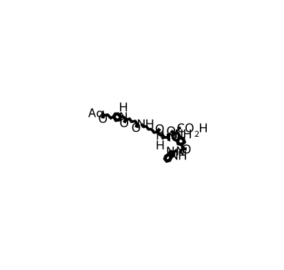 CC(=O)CC(=O)CCc1ccc(NC(=O)CCCC(=O)NCCCCCC(=O)NCCC(C)(C)N2Cc3cc(C(=O)N(C)Cc4nc5ccccc5[nH]4)ccc3N[C@@H](CC(=O)O)C2=O)cc1